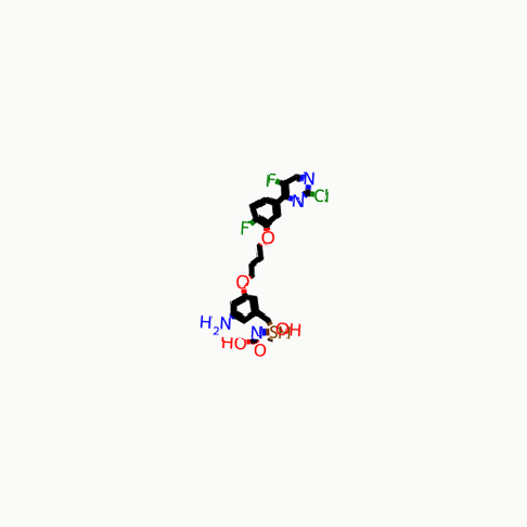 C[SH](O)(Cc1cc(N)cc(OCCCCOc2cc(-c3nc(Cl)ncc3F)ccc2F)c1)=NC(=O)O